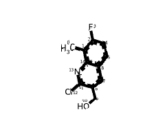 Cc1c(F)ccc2cc(CO)c(Cl)nc12